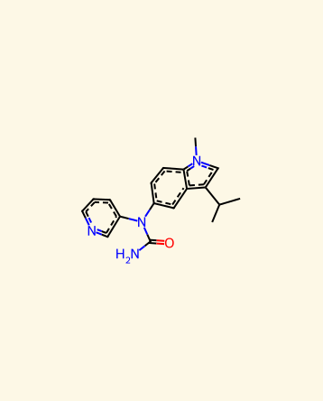 CC(C)c1cn(C)c2ccc(N(C(N)=O)c3cccnc3)cc12